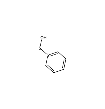 OSS1=CC=CC=C1